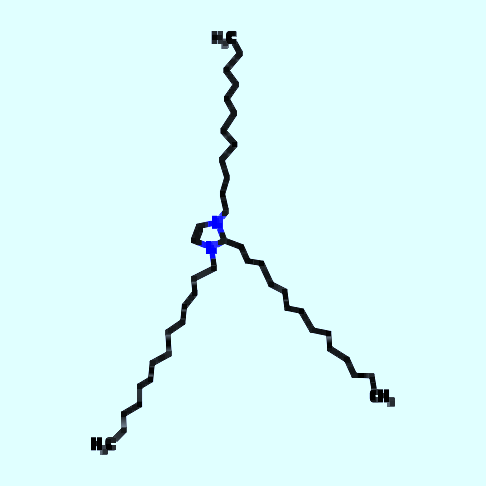 CCCCCCCCCCCCCCC1N(CCCCCCCCCCCC)C=CN1CCCCCCCCCCCCCC